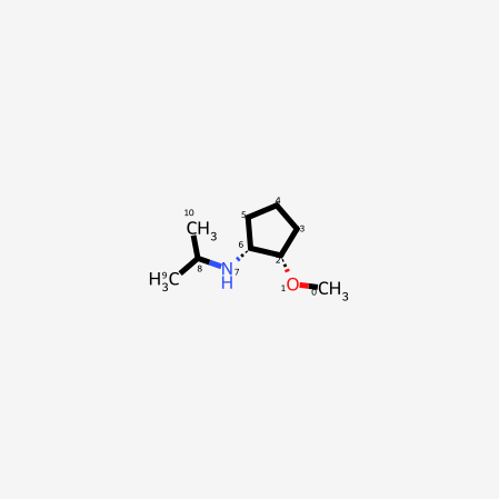 CO[C@H]1CCC[C@H]1NC(C)C